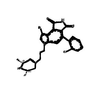 C[C@@H]1CN(CCCn2cc(Br)c3c4c(c(-c5ccccc5Cl)cc32)C(=O)NC4=O)C[C@H](C)N1